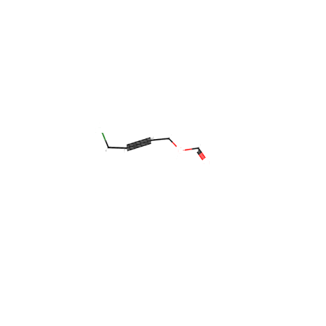 O=COCC#CCCl